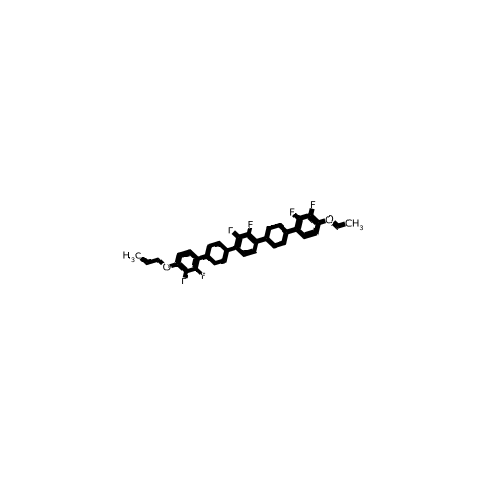 CCCOc1ccc(C2CCC(c3ccc(C4CCC(c5ccc(OCC)c(F)c5F)CC4)c(F)c3F)CC2)c(F)c1F